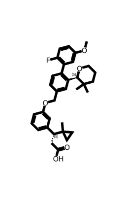 COc1ccc(F)c(-c2ccc(COc3cccc([C@@H](CC(=O)O)C4(C)CC4)c3)cc2[C@H]2OCCCC2(C)C)c1